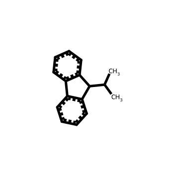 CC(C)C1c2ccccc2-c2ccccc21